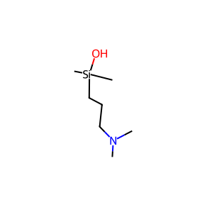 CN(C)CCC[Si](C)(C)O